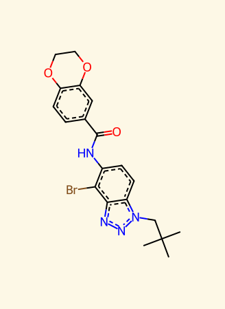 CC(C)(C)Cn1nnc2c(Br)c(NC(=O)c3ccc4c(c3)OCCO4)ccc21